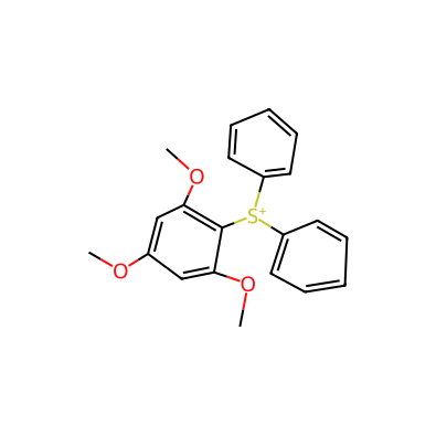 COc1cc(OC)c([S+](c2ccccc2)c2ccccc2)c(OC)c1